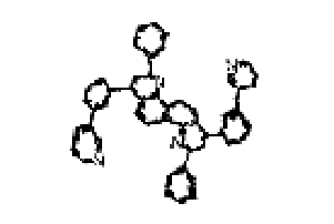 c1ccc(-c2cc(-c3cccc(-c4cccnc4)c3)c3ccc4c(ccc5c(-c6cccc(-c7cccnc7)c6)cc(-c6ccccc6)nc54)c3n2)cc1